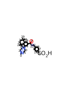 CN1CCN(c2cc(C(=O)/C=C/c3ccc(C(=O)O)cc3)cc3c2C(C)(C)CCC3(C)C)CC1